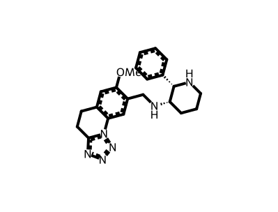 COc1cc2c(cc1CN[C@H]1CCCN[C@H]1c1ccccc1)-n1nnnc1CC2